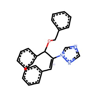 C(=C(/C(OCc1ccccc1)c1ccccc1)n1cncn1)/c1ccccc1